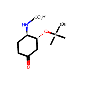 CC(C)(C)[Si](C)(C)O[C@@H]1CC(=O)CC[C@H]1NC(=O)O